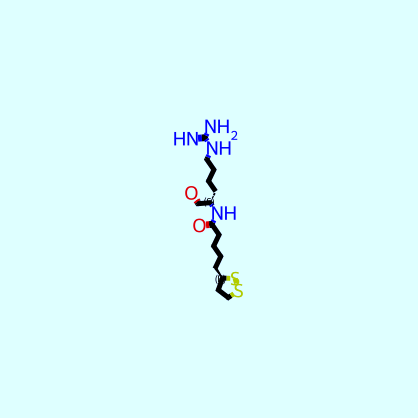 N=C(N)NCCCC[C@@H](C=O)NC(=O)CCCC[C@@H]1CCSS1